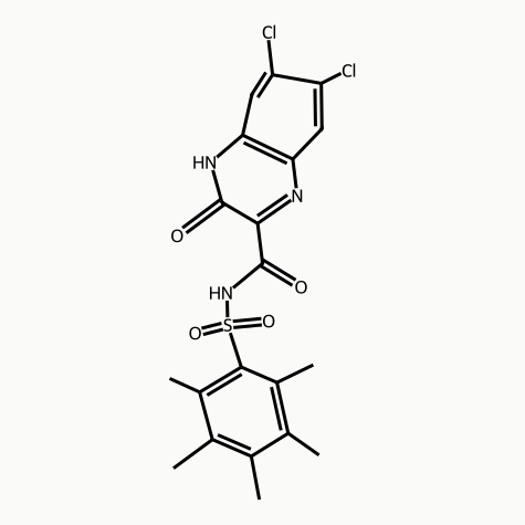 Cc1c(C)c(C)c(S(=O)(=O)NC(=O)c2nc3cc(Cl)c(Cl)cc3[nH]c2=O)c(C)c1C